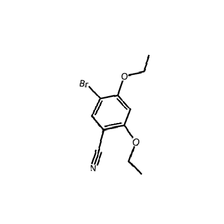 CCOc1cc(OCC)c(C#N)cc1Br